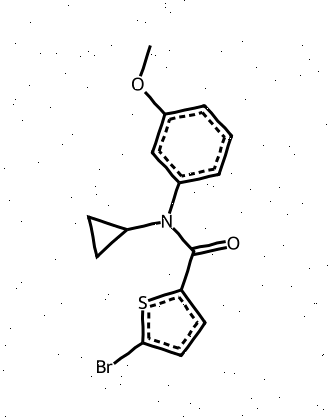 COc1cccc(N(C(=O)c2ccc(Br)s2)C2CC2)c1